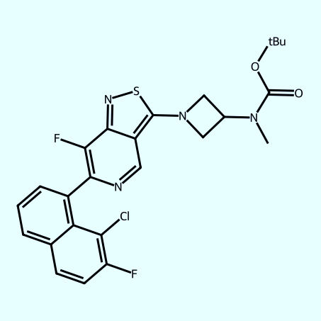 CN(C(=O)OC(C)(C)C)C1CN(c2snc3c(F)c(-c4cccc5ccc(F)c(Cl)c45)ncc23)C1